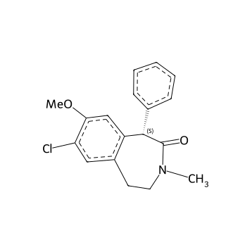 COc1cc2c(cc1Cl)CCN(C)C(=O)[C@H]2c1ccccc1